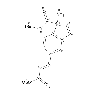 COC(=O)C=Cc1ccc2c(c1)C=C[N+]2(C)C(=O)OC(C)(C)C